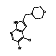 Clc1c(Br)cnc2[nH]c(CN3CCOCC3)cc12